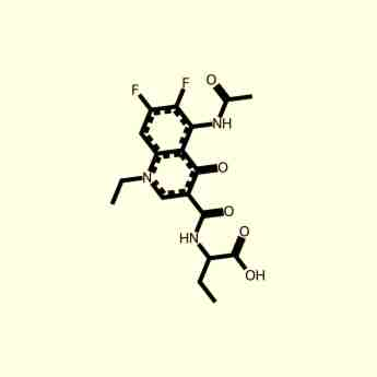 CCC(NC(=O)c1cn(CC)c2cc(F)c(F)c(NC(C)=O)c2c1=O)C(=O)O